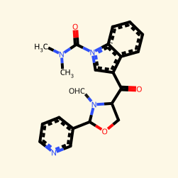 CN(C)C(=O)n1cc(C(=O)C2COC(c3cccnc3)N2C=O)c2ccccc21